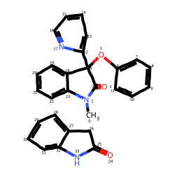 CN1C(=O)C(Oc2ccccc2)(c2ccccn2)c2ccccc21.O=C1Cc2ccccc2N1